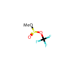 COS(=O)OC(F)(F)F